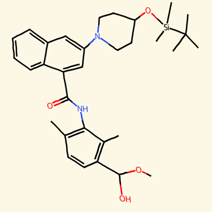 COC(O)c1ccc(C)c(NC(=O)c2cc(N3CCC(O[Si](C)(C)C(C)(C)C)CC3)cc3ccccc23)c1C